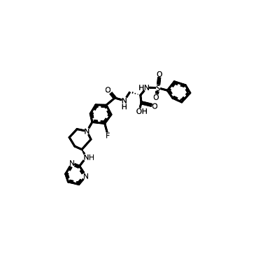 O=C(NC[C@H](NS(=O)(=O)c1ccccc1)C(=O)O)c1ccc(N2CCC[C@H](Nc3ncccn3)C2)c(F)c1